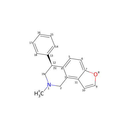 CN1Cc2c(ccc3occc23)[C@H](c2ccccc2)C1